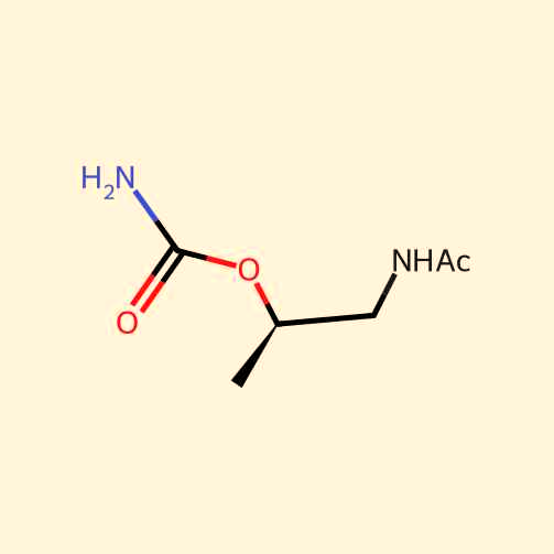 CC(=O)NC[C@@H](C)OC(N)=O